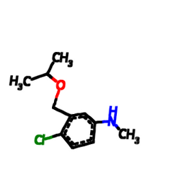 CNc1ccc(Cl)c(COC(C)C)c1